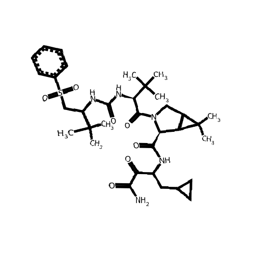 CC(C)(C)C(CS(=O)(=O)c1ccccc1)NC(=O)N[C@H](C(=O)N1CC2C([C@H]1C(=O)NC(CC1CC1)C(=O)C(N)=O)C2(C)C)C(C)(C)C